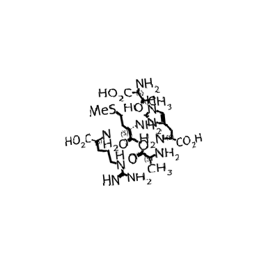 CSCC[C@H](N)C(=O)OC(=O)[C@H](C)N.C[C@@H](O)[C@H](N)C(=O)O.N=C(N)NCCC[C@H](N)C(=O)O.N[C@@H](Cc1c[nH]cn1)C(=O)O